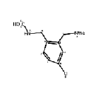 CNCc1cc(Cl)ccc1CNC(=O)O